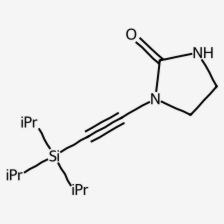 CC(C)[Si](C#CN1CCNC1=O)(C(C)C)C(C)C